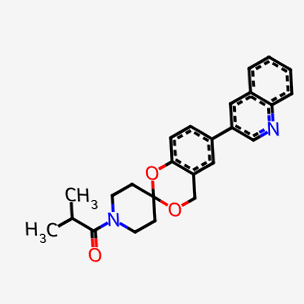 CC(C)C(=O)N1CCC2(CC1)OCc1cc(-c3cnc4ccccc4c3)ccc1O2